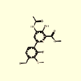 COC(=O)c1nc(-c2ccc(CI)c(OC)c2F)cc(NC(C)=O)c1O